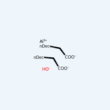 CCCCCCCCCCCC(=O)[O-].CCCCCCCCCCCC(=O)[O-].[Al+3].[OH-]